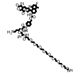 CCCOCCOCCOCCOCCOCCOCCOCCOCCOCCC(=O)NC(C(=O)N[C@@H](CCCCN)C(=O)Nc1ccc(COC(=O)N[C@H]2CCc3c(C)c(F)cc4nc5c(c2c34)Cn2c-5cc3c(c2=O)COC(=O)[C@@H]3CC)cc1)C(C)C